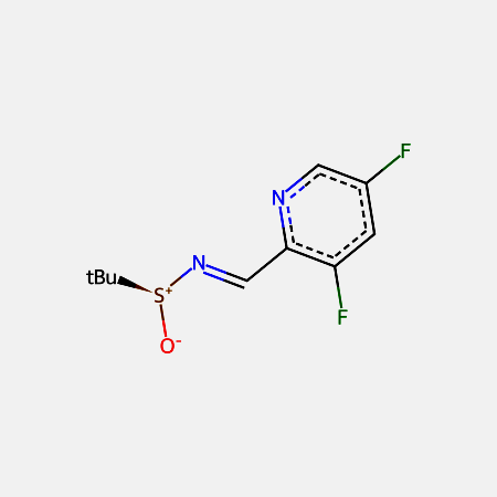 CC(C)(C)[S@+]([O-])/N=C/c1ncc(F)cc1F